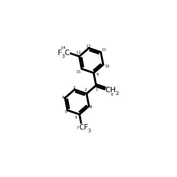 C=C(c1cccc(C(F)(F)F)c1)c1cccc(C(F)(F)F)c1